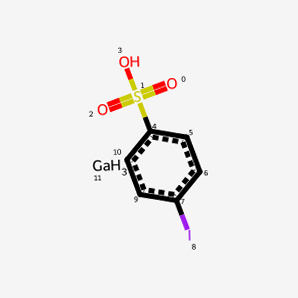 O=S(=O)(O)c1ccc(I)cc1.[GaH3]